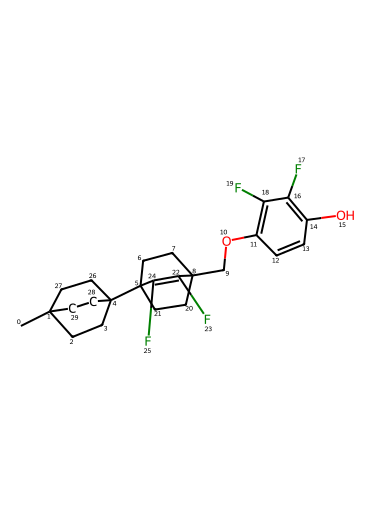 CC12CCC(C34CCC(COc5ccc(O)c(F)c5F)(CC3)C(F)=C4F)(CC1)CC2